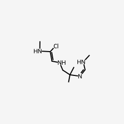 CN/C=N\C(C)(C)CN/C=C(\Cl)NC